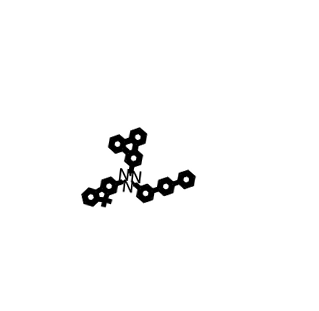 CC1(C)c2ccccc2-c2ccc(-c3nc(-c4cccc(-c5ccc(-c6ccccc6)cc5)c4)nc(-c4ccc5c6ccccc6c6ccccc6c5c4)n3)cc21